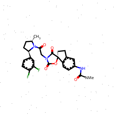 CNC(=O)Nc1ccc2c(c1)CC[C@@]21OC(=O)N(CC(=O)N2[C@@H](c3ccc(F)c(F)c3)CC[C@@H]2C)C1=O